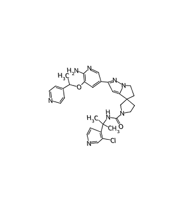 CC(Oc1cc(-c2cc3n(n2)CCC32CCN(C(=O)NC(C)(C)c3ccncc3Cl)C2)cnc1N)c1ccncc1